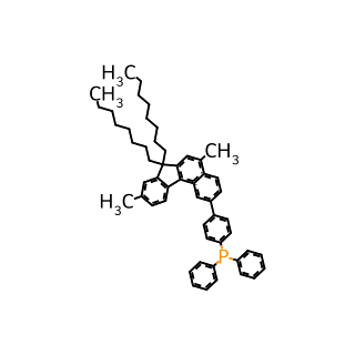 CCCCCCCCC1(CCCCCCCC)c2cc(C)ccc2-c2c1cc(C)c1ccc(-c3ccc(P(c4ccccc4)c4ccccc4)cc3)cc21